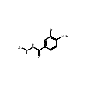 CC(=O)Nc1ccc(C(=O)NNC(C)(C)C)cc1Br